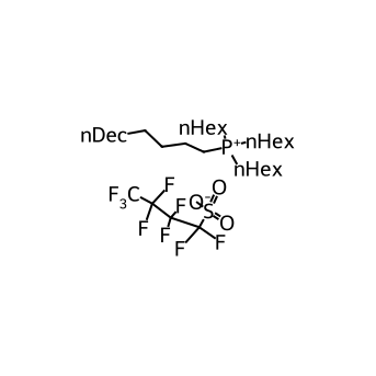 CCCCCCCCCCCCCC[P+](CCCCCC)(CCCCCC)CCCCCC.O=S(=O)([O-])C(F)(F)C(F)(F)C(F)(F)C(F)(F)F